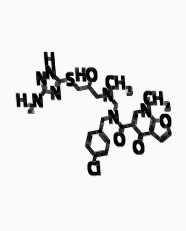 CN(CC(O)CSc1nc(N)n[nH]1)CN(Cc1ccc(Cl)cc1)C(=O)c1cn(C)c2occc2c1=O